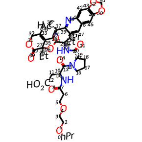 CCCOCCOCCC(=O)N[C@@H](CC(=O)O)C(=O)N1CCC[C@H]1C(=O)NC(C(=O)O[C@]1(CC)C(=O)OCC(C(C)=O)=C1/C=C(\C)c1nc2cc3c(cc2cc1CC)OCO3)C(C)C